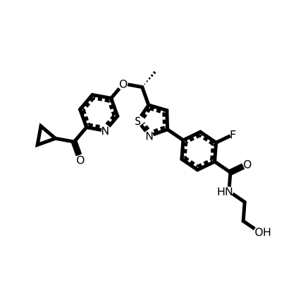 C[C@@H](Oc1ccc(C(=O)C2CC2)nc1)c1cc(-c2ccc(C(=O)NCCO)c(F)c2)ns1